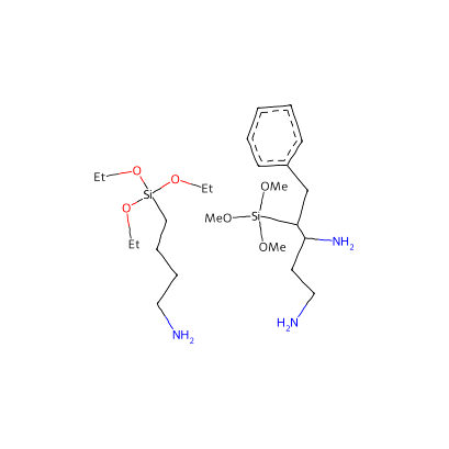 CCO[Si](CCCCN)(OCC)OCC.CO[Si](OC)(OC)C(Cc1ccccc1)C(N)CCN